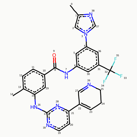 Cc1cn(-c2cc(NC(=O)c3ccc(C)c(Nc4nccc(C5=CCCN=C5)n4)c3)cc(C(F)(F)F)c2)cn1